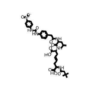 CC(C)CC(NC(=O)Cc1ccc(NC(=O)Nc2ccc([N+](=O)[O-])cc2)cc1)C(=O)NC(CC=CCC(NC(=O)CC(C)(C)C)C(=O)O)C(=O)O